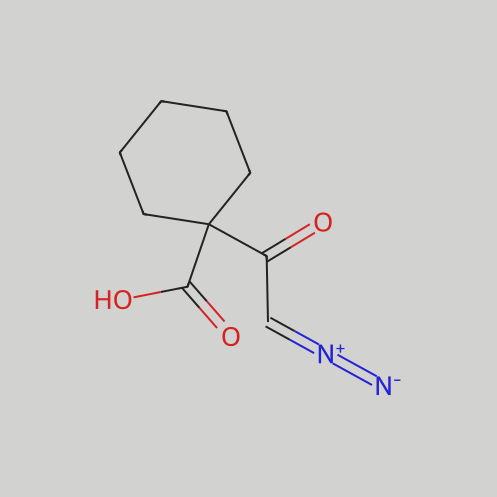 [N-]=[N+]=CC(=O)C1(C(=O)O)CCCCC1